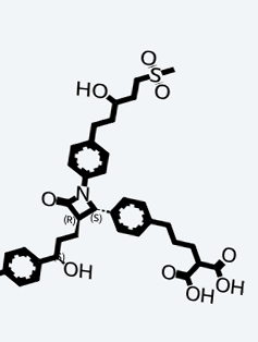 CS(=O)(=O)CCC(O)CCc1ccc(N2C(=O)[C@H](CC[C@H](O)c3ccc(F)cc3)[C@H]2c2ccc(CCCC(C(=O)O)C(=O)O)cc2)cc1